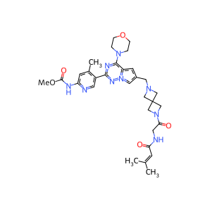 COC(=O)Nc1cc(C)c(-c2nc(N3CCOCC3)c3cc(CN4CC5(C4)CN(C(=O)CNC(=O)C=C(C)C)C5)cn3n2)cn1